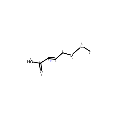 COOC/C=C/C(=O)O